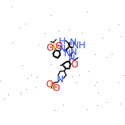 Cc1cc2c(cc1C1CCN(CCS(C)(=O)=O)CC1)OC(C)N2c1nc(Nc2ccccc2S(=O)(=O)C(C)C)c2c(C)n[nH]c2n1